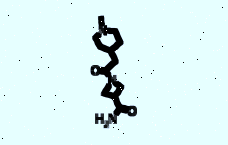 CN1CCC(CC(=O)N2CC(C(N)=O)C2)CC1